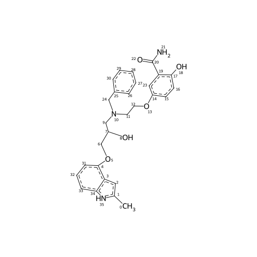 Cc1cc2c(OCC(O)CN(CCOc3ccc(O)c(C(N)=O)c3)Cc3ccccc3)cccc2[nH]1